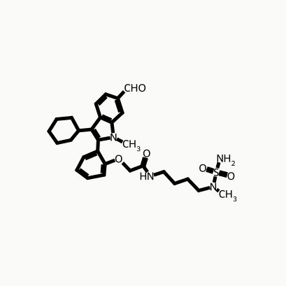 CN(CCCCNC(=O)COc1ccccc1-c1c(C2CCCCC2)c2ccc(C=O)cc2n1C)S(N)(=O)=O